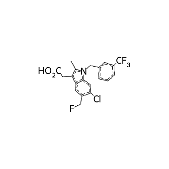 Cc1c(CC(=O)O)c2cc(CF)c(Cl)cc2n1Cc1cccc(C(F)(F)F)c1